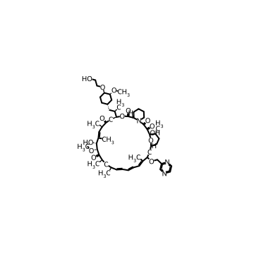 CO[C@@H]1C[C@H](C[C@@H](C)[C@@H]2CC(=O)[C@H](C)/C=C(\C)[C@@H](O)[C@@H](OC)C(=O)[C@H](C)C[C@H](C)/C=C/C=C/C=C(\C)C(OCc3cnccn3)C[C@@H]3CC[C@@H](C)[C@@](O)(O3)C(=O)C(=O)N3CCCC[C@H]3C(=O)O2)CC[C@H]1OCCO